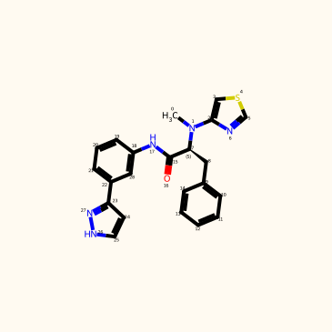 CN(c1cscn1)[C@@H](Cc1ccccc1)C(=O)Nc1cccc(-c2cc[nH]n2)c1